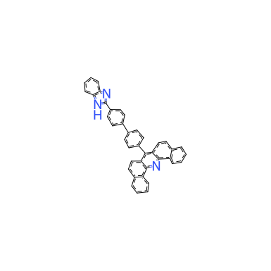 c1ccc2c(c1)ccc1c(-c3ccc(-c4ccc(-c5nc6ccccc6[nH]5)cc4)cc3)c3ccc4ccccc4c3nc12